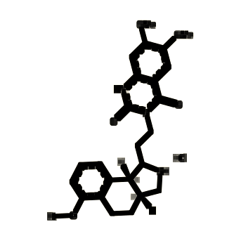 CCOc1cccc2c1CC[C@H]1CNC(CCn3c(=O)[nH]c4cc(OC)c(OC)cc4c3=O)[C@@H]21.Cl